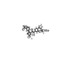 CON=C1CCCN1c1ccc(NC(=O)c2cc(C(F)(F)F)nn2-c2cccc(C(N)=O)c2)cc1C